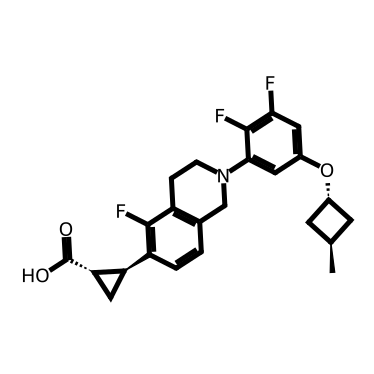 C[C@H]1C[C@H](Oc2cc(F)c(F)c(N3CCc4c(ccc([C@H]5C[C@@H]5C(=O)O)c4F)C3)c2)C1